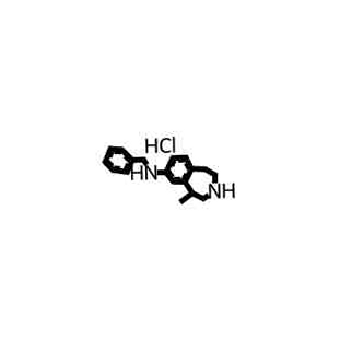 CC1CNCCc2ccc(NCc3ccccc3)cc21.Cl